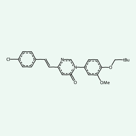 COc1cc(-n2cnc(/C=C/c3ccc(Cl)cc3)cc2=O)ccc1OCC(C)(C)C